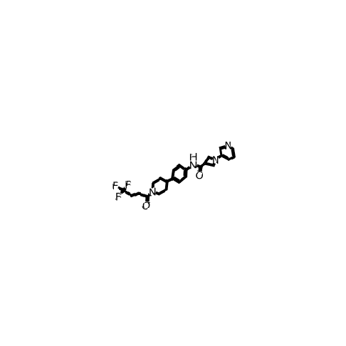 O=C(Nc1ccc(C2CCN(C(=O)CCC(F)(F)F)CC2)cc1)C1CN(c2cccnc2)C1